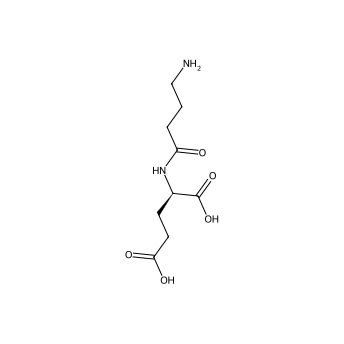 NCCCC(=O)N[C@H](CCC(=O)O)C(=O)O